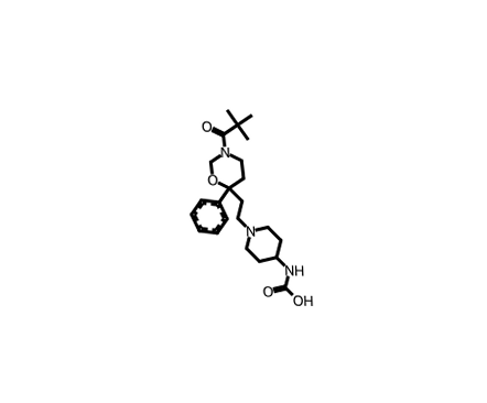 CC(C)(C)C(=O)N1CCC(CCN2CCC(NC(=O)O)CC2)(c2ccccc2)OC1